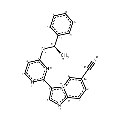 C[C@@H](Nc1ccnc(-c2cnc3ccc(C#N)cn23)n1)c1ccccc1